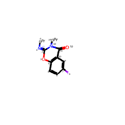 CCC/N=c1/oc2ccc(I)cc2c(=O)n1CCC